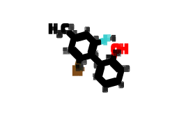 Cc1cc(F)c(-c2ccccc2O)c(Br)c1